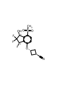 CS(=O)(=O)c1ccc(O[C@H]2C[C@H](C#N)C2)c2c1[C@H](O)C(F)(F)[C@@H]2F